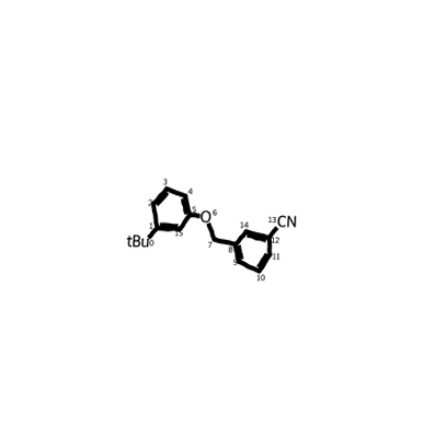 CC(C)(C)c1cccc(OCc2cccc(C#N)c2)c1